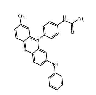 CC(=O)Nc1ccc(-[n+]2c3cc(C)ccc3nc3ccc(Nc4ccccc4)cc32)cc1